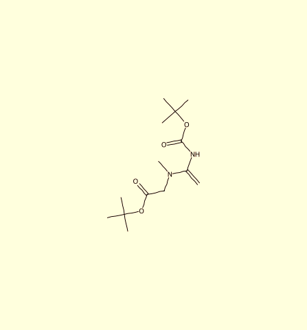 C=C(NC(=O)OC(C)(C)C)N(C)CC(=O)OC(C)(C)C